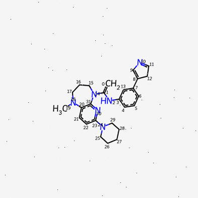 C=C(Nc1cccc(C2=CN=CC2)c1)N1CCCN(C)c2ccc(N3CCCCC3)nc21